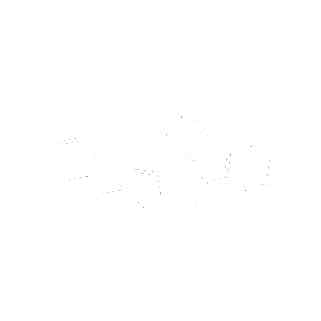 FC(F)(F)Cn1c2cnccc2c2cc(Cl)cc(-c3cnn(Cc4ccccc4)c3)c21